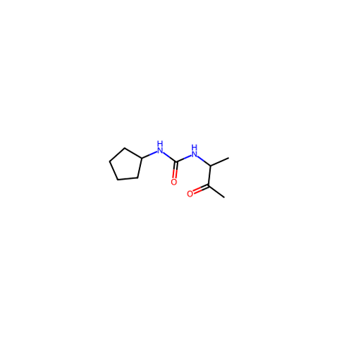 CC(=O)C(C)NC(=O)NC1CCCC1